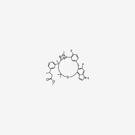 COC(=O)CC(C)c1cccc([C@@]2(C)CCC(C)(C)CSCCc3c(c(F)cc4c3ccn4I)Sc3ccc(F)c(c3)-c3nc2nn3C)c1